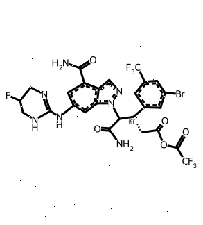 NC(=O)c1cc(NC2=NCC(F)CN2)cc2c1cnn2C(C(N)=O)[C@@H](CC(=O)OC(=O)C(F)(F)F)c1cc(Br)cc(C(F)(F)F)c1